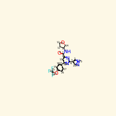 Cn1cc(-c2nc(C(=O)N[C@@H]3CCOC3)cc(-c3ccc(OC(F)(F)F)cc3)n2)cn1